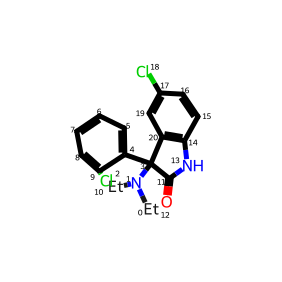 CCN(CC)C1(c2ccccc2Cl)C(=O)Nc2ccc(Cl)cc21